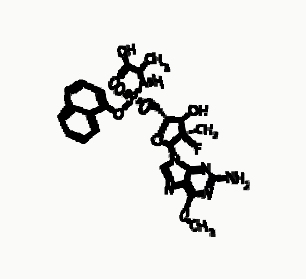 COc1nc(N)nc2c1ncn2C1O[C@H](COP(=O)(Oc2cccc3ccccc23)[AsH]C(C)C(=O)O)[C@@H](O)[C@@]1(C)F